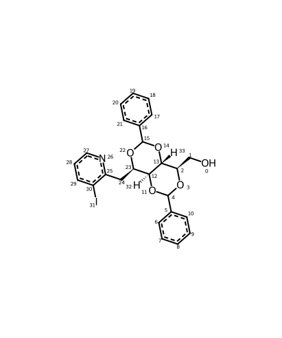 OC[C@H]1OC(c2ccccc2)O[C@@H]2[C@@H]1OC(c1ccccc1)O[C@@H]2Cc1ncccc1I